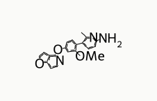 COc1cc(Oc2nccc3occc23)ccc1-c1ccc(N)nc1C